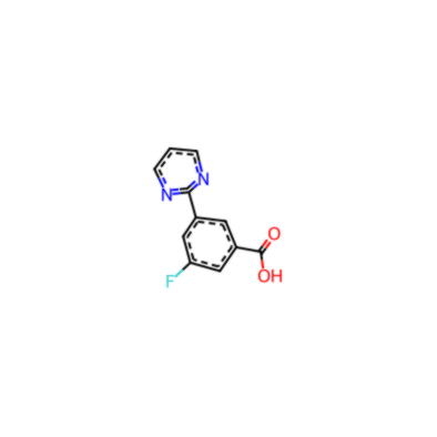 O=C(O)c1cc(F)cc(-c2ncccn2)c1